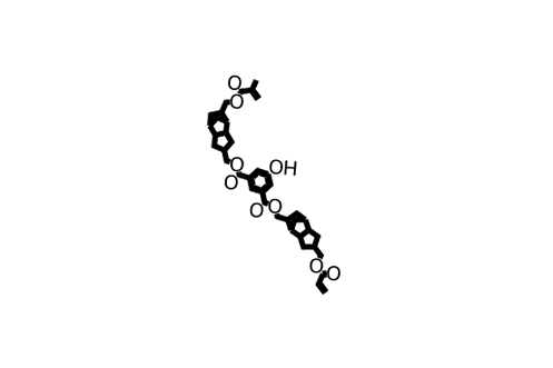 C=CC(=O)OCC1CC2C3CC(COC(=O)c4cc(O)cc(C(=O)OCC5CC6C7CC(COC(=O)C(=C)C)C(C7)C6C5)c4)C(C3)C2C1